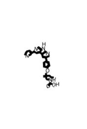 CCCC(C)(CNC(=O)O)COc1ccc(-c2cnc3[nH]c4cnc(-c5cccnc5)cc4c3c2)cc1